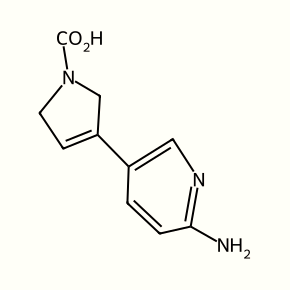 Nc1ccc(C2=CCN(C(=O)O)C2)cn1